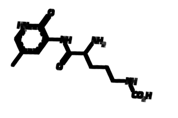 Cc1c[nH]c(=O)c(NC(=O)C(N)CCCNC(=O)O)c1